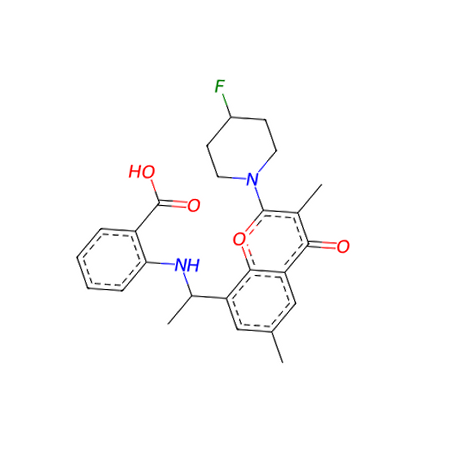 Cc1cc(C(C)Nc2ccccc2C(=O)O)c2oc(N3CCC(F)CC3)c(C)c(=O)c2c1